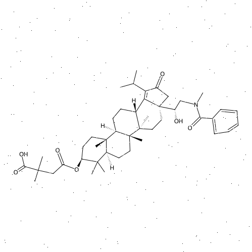 CC(C)C1=C2[C@H]3CC[C@@H]4[C@@]5(C)CC[C@H](OC(=O)CC(C)(C)C(=O)O)C(C)(C)[C@@H]5CC[C@@]4(C)[C@]3(C)CC[C@@]2([C@@H](O)CN(C)C(=O)c2ccccc2)CC1=O